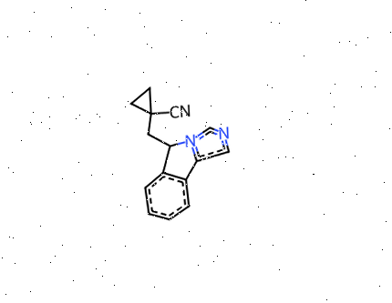 N#CC1(CC2c3ccccc3-c3cncn32)CC1